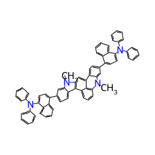 CN1c2cc(-c3ccc(N(c4ccccc4)c4ccccc4)c4ccccc34)ccc2-c2cc3c(c4cccc1c24)c1ccc(-c2ccc(N(c4ccccc4)c4ccccc4)c4ccccc24)cc1n3C